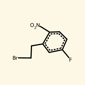 O=[N+]([O-])c1ccc(F)cc1CCBr